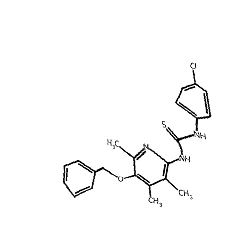 Cc1nc(NC(=S)Nc2ccc(Cl)cc2)c(C)c(C)c1OCc1ccccc1